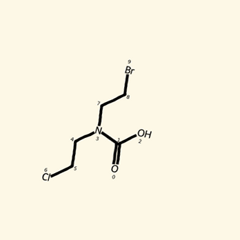 O=C(O)N(CCCl)CCBr